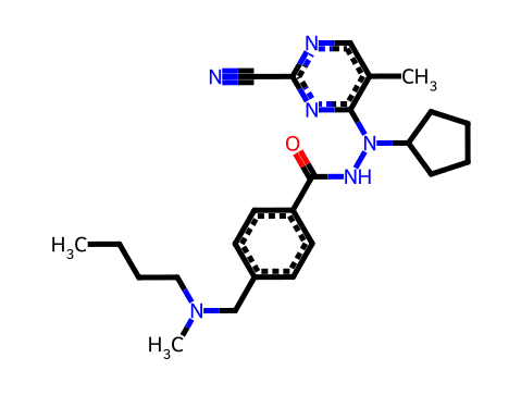 CCCCN(C)Cc1ccc(C(=O)NN(c2nc(C#N)ncc2C)C2CCCC2)cc1